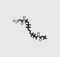 BCC(=O)NC(C)(C)CC(C)(C)C(C)(C)CCCC(C)(C)C(C)(C)C(C)NC(=O)CC(C)(C)C